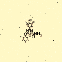 Cc1cccc(C)c1Oc1cc(C(N)=O)nc(-c2cc(C)c(=O)n(C)c2)n1